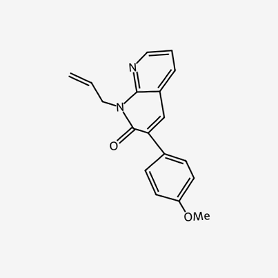 C=CCn1c(=O)c(-c2ccc(OC)cc2)cc2cccnc21